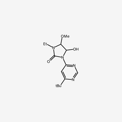 CCN1C(=O)N(c2cc(C(C)(C)C)ncn2)C(O)C1OC